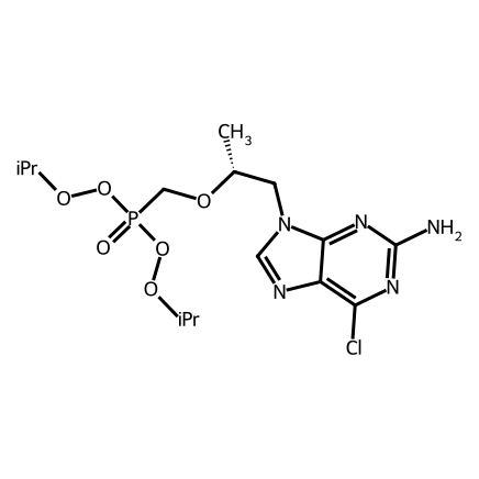 CC(C)OOP(=O)(CO[C@H](C)Cn1cnc2c(Cl)nc(N)nc21)OOC(C)C